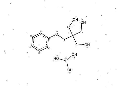 OCC(CO)(CO)COc1ccccc1.OP(O)O